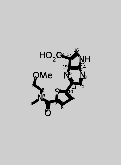 COCCN(C)C(=O)c1ccc(-c2cnc3[nH]cc(C(=O)O)c3n2)s1